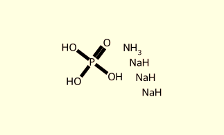 N.O=P(O)(O)O.[NaH].[NaH].[NaH]